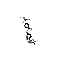 CCC(C)NS(=O)(=O)c1ccc(OC(=O)c2ccc(NC(=N)N)cc2)cc1